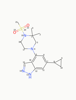 CC1(C)CN(c2cc(C3CC3)cc3[nH]ncc23)CCN1S(C)(=O)=O